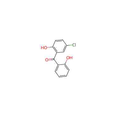 O=C(c1ccccc1O)c1cc(Cl)ccc1O